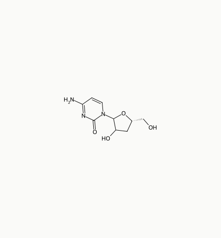 Nc1ccn(C2O[C@H](CO)CC2O)c(=O)n1